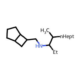 CCCCCCCC(C)C(CC)NCC1CC2CCCC21